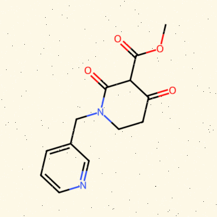 COC(=O)C1C(=O)CCN(Cc2cccnc2)C1=O